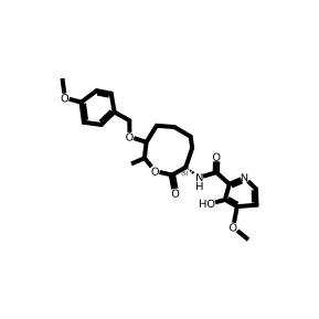 COc1ccc(COC2CCCC[C@H](NC(=O)c3nccc(OC)c3O)C(=O)OC2C)cc1